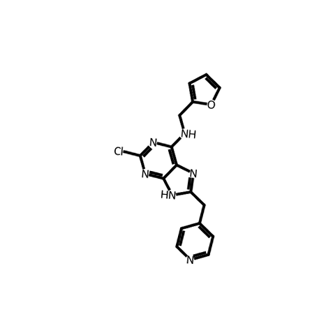 Clc1nc(NCc2ccco2)c2nc(Cc3ccncc3)[nH]c2n1